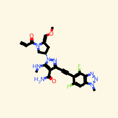 C=CC(=O)N1C[C@@H](n2nc(C#Cc3c(F)cc4c(nnn4C)c3F)c(C(N)=O)c2NC)C/C1=C\OC